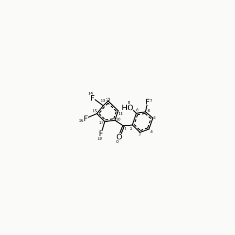 O=C(c1cccc(F)c1O)c1ccc(F)c(F)c1F